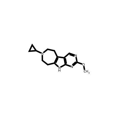 COc1ncc2c3c([nH]c2n1)CCN(C1CC1)CC3